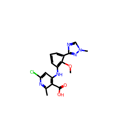 COc1c(Nc2cc(Cl)nc(C)c2C(=O)O)cccc1-c1ncn(C)n1